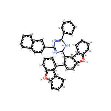 c1ccc(C2=NC(c3ccc4ccccc4c3)=NC(c3c(-c4cccc5oc6ccccc6c45)ccc4oc5ccccc5c34)N2)cc1